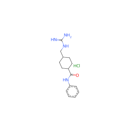 Cl.N=C(N)NCC1CCC(C(=O)Nc2ccccc2)CC1